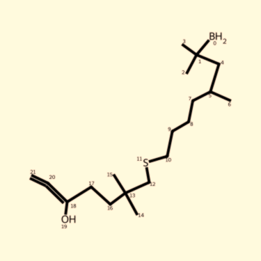 BC(C)(C)CC(C)CCCCSCC(C)(C)CCC(O)=C=C